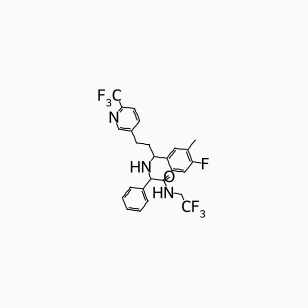 Cc1cc(C(CCc2ccc(C(F)(F)F)nc2)NC(C(=O)NCC(F)(F)F)c2ccccc2)ccc1F